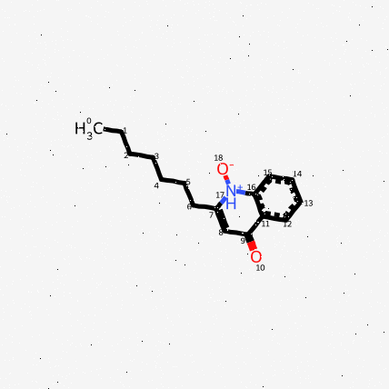 CCCCCCCC1=CC(=O)c2ccccc2[NH+]1[O-]